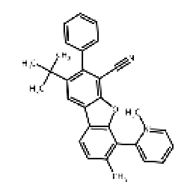 Cc1ccc2c(oc3c(C#N)c(-c4ccccc4)c(C(C)(C)C)cc32)c1-c1cccc[n+]1C